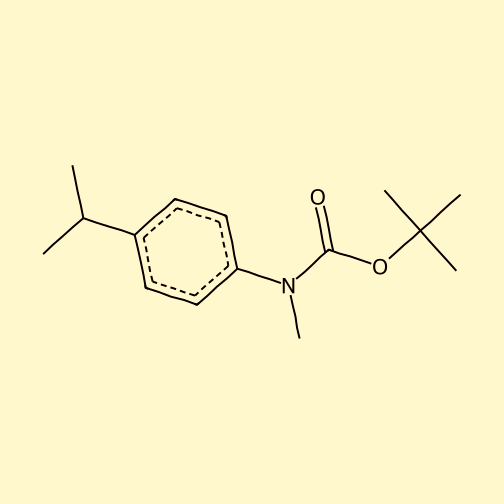 CC(C)c1ccc(N(C)C(=O)OC(C)(C)C)cc1